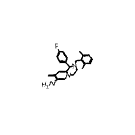 C=C1C=C2C(c3ccc(F)cc3)N(Cc3c(C)cccc3C)CCN2C=C1N